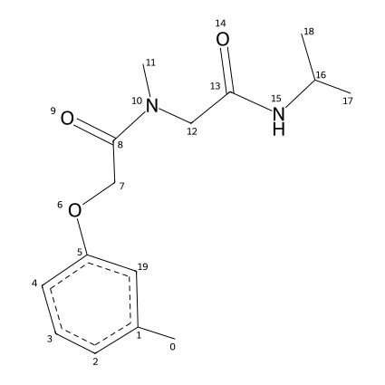 Cc1cccc(OCC(=O)N(C)CC(=O)NC(C)C)c1